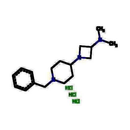 CN(C)C1CN(C2CCN(Cc3ccccc3)CC2)C1.Cl.Cl.Cl